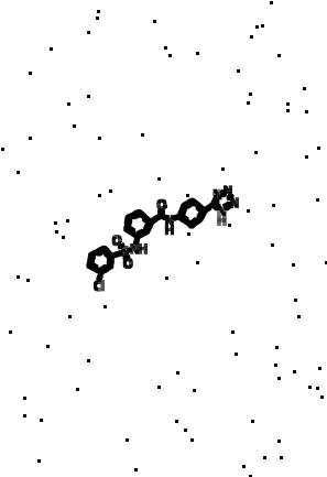 O=C(Nc1ccc(-c2nnn[nH]2)cc1)c1cccc(NS(=O)(=O)c2cccc(Cl)c2)c1